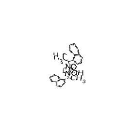 C[C@@H](c1cccc2ccccc12)N1CCN([C@@H](C)c2cccc3ccccc23)P1(=O)O